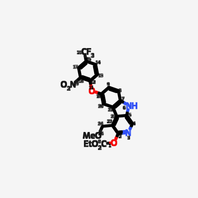 CCOC(=O)Oc1ncc2[nH]c3ccc(Oc4ccc(C(F)(F)F)cc4[N+](=O)[O-])cc3c2c1COC